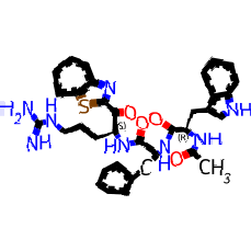 CC(=O)N[C@H](Cc1c[nH]c2ccccc12)C(=O)NC(Cc1ccccc1)C(=O)N[C@@H](CCCNC(=N)N)C(=O)c1nc2ccccc2s1